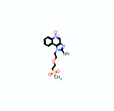 CCCc1nc2c[n+]([O-])c3ccccc3c2n1CCOCCS(C)(=O)=O